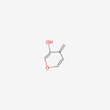 C=C1C=COC=C1O